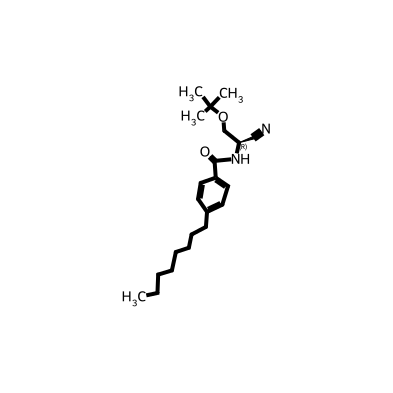 CCCCCCCCc1ccc(C(=O)N[C@H](C#N)COC(C)(C)C)cc1